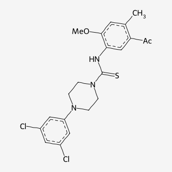 COc1cc(C)c(C(C)=O)cc1NC(=S)N1CCN(c2cc(Cl)cc(Cl)c2)CC1